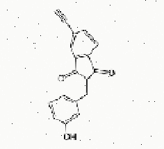 C#Cc1ccc2c(c1)C(=O)C(=Cc1cccc(O)c1)C2=O